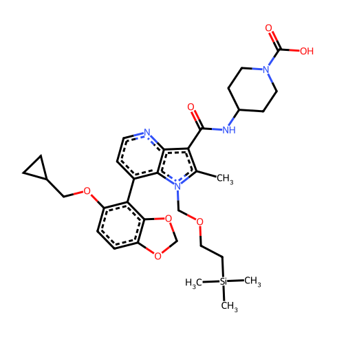 Cc1c(C(=O)NC2CCN(C(=O)O)CC2)c2nccc(-c3c(OCC4CC4)ccc4c3OCO4)c2n1COCC[Si](C)(C)C